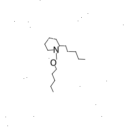 CCCCCOCN1CCCCC1CCCCC